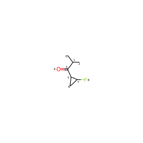 CC(C)C(=O)C1CC1F